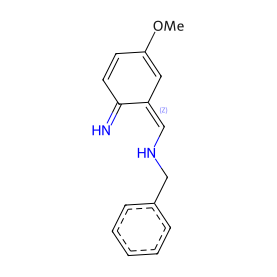 COC1=C/C(=C/NCc2ccccc2)C(=N)C=C1